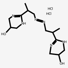 CC(CN=NCC(C)C1=NCC(O)CN1)C1=NCC(O)CN1.Cl.Cl